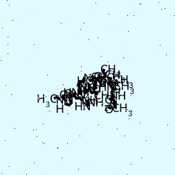 CCCC(NC(=O)C(NC(=O)C(NC(=O)C(NC(=O)CNC(=O)CN(C)C=O)C(C)C)C(C)CC)C(C)O)C(=O)NC(CCCCN)C(=O)NC(CCCNC(=N)N)C(=O)N1CCCC1C(=O)NCC